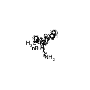 CCCCN(CCCCN)C(=O)CN1C[C@H](c2ccc3c(c2)CCO3)[C@@H](C(=O)O)[C@@H]1CCN1CCCN(C)C1=O